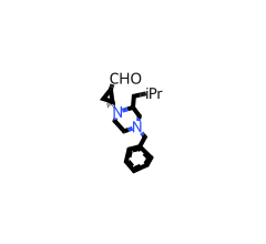 CC(C)CC1CN(Cc2ccccc2)CCN1[C@@H]1CC1C=O